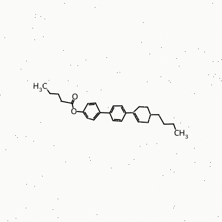 CCCCC(=O)Oc1ccc(-c2ccc(C3=CCC(CCCC)CC3)cc2)cc1